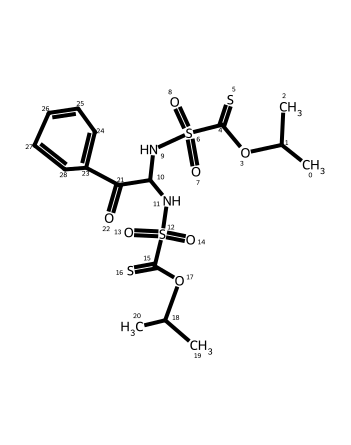 CC(C)OC(=S)S(=O)(=O)NC(NS(=O)(=O)C(=S)OC(C)C)C(=O)c1ccccc1